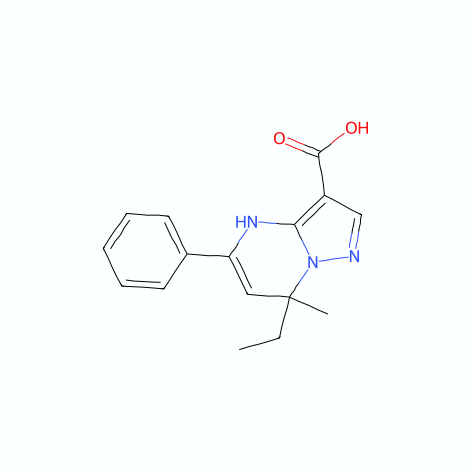 CCC1(C)C=C(c2ccccc2)Nc2c(C(=O)O)cnn21